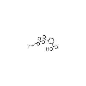 CCCCOC(=O)OC(=O)c1cccc(C(=O)O)c1